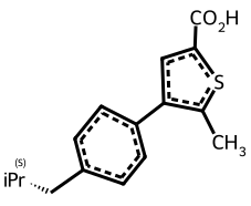 [CH2][C@@H](C)Cc1ccc(-c2cc(C(=O)O)sc2C)cc1